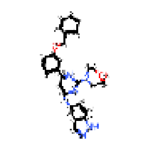 c1ccc(COc2cccc(-c3cc([N]c4ccc5[nH]ncc5c4)nc(N4CCOCC4)n3)c2)cc1